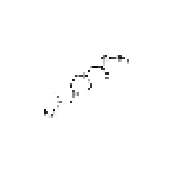 NNC(=O)CN1CCN(CC(N)=O)CC1